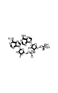 C[C@@H]1[C@H](F)[C@@H](CO[PH](=O)O[C@H]2[C@@H](F)[C@H](n3cnc4c(N)ncnc43)O[C@@H]2CO[P@](=O)(O)S)O[C@H]1n1cnc2c(N)ncnc21